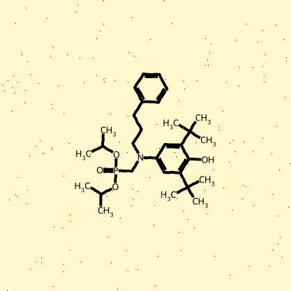 CC(C)OP(=O)(CN(CCCc1ccccc1)c1cc(C(C)(C)C)c(O)c(C(C)(C)C)c1)OC(C)C